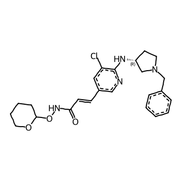 O=C(C=Cc1cnc(N[C@@H]2CCN(Cc3ccccc3)C2)c(Cl)c1)NOC1CCCCO1